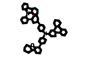 c1cc(-c2ccc(N(c3ccc(-c4cccc5c4oc4ccccc45)cc3)c3ccc4c5ccccc5c5ccccc5c4c3)cc2)cc(-c2ccccc2-n2c3ccccc3c3ccccc32)c1